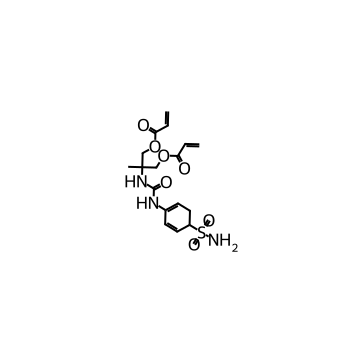 C=CC(=O)OCC(C)(COC(=O)C=C)NC(=O)NC1=CCC(S(N)(=O)=O)C=C1